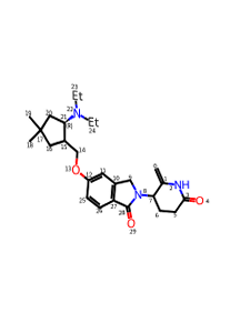 C=C1NC(=O)CCC1N1Cc2cc(OCC3CC(C)(C)C[C@H]3N(CC)CC)ccc2C1=O